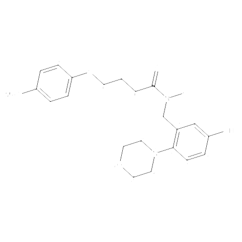 COc1ccc(SCCCC(=O)N(C)Cc2cc(C)ccc2N2CCOCC2)cc1